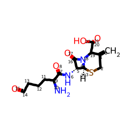 C=C1CS[C@H]2[C@H](NC(=O)C(N)CCCC=O)C(=O)N2C1C(=O)O